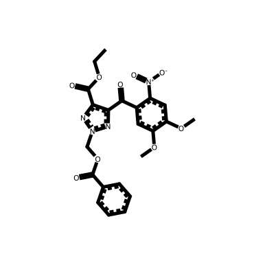 CCOC(=O)c1nn(COC(=O)c2ccccc2)nc1C(=O)c1cc(OC)c(OC)cc1[N+](=O)[O-]